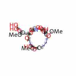 COCCOC1C[C@@H]2CC[C@@H](C)[C@@](O)(O2)C(=O)C(=O)N2CCCC[C@H]2C(=O)O[C@H]([C@H](C)C[C@@H]2CC[C@@H](OC[C@@H](O)CO)[C@H](OC)C2)CC(=O)[C@H](C)/C=C(\C)[C@@H](O)[C@@H](OC)C(=O)[C@H](C)C[C@H](C)/C=C/C=C/C=C/1C